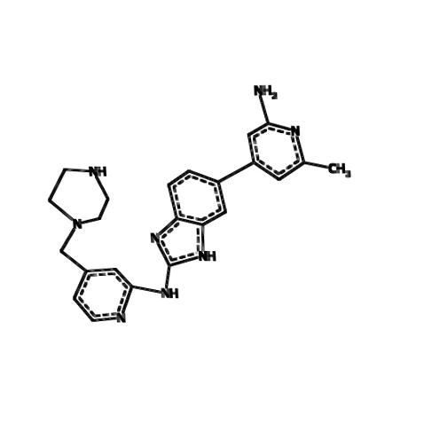 Cc1cc(-c2ccc3nc(Nc4cc(CN5CCNCC5)ccn4)[nH]c3c2)cc(N)n1